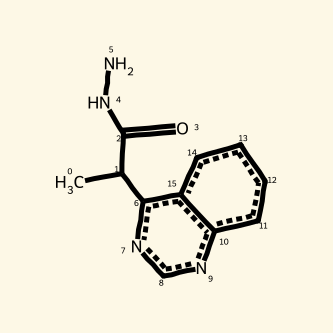 CC(C(=O)NN)c1ncnc2ccccc12